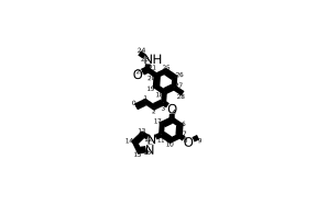 C=C/C=C(/Oc1cc(OC)cc(-n2cccn2)c1)c1cc(C(=O)NC)ccc1C